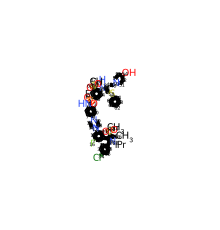 CCOP(=O)(Nc1ccc(N2CCN(c3cc(F)cc(-c4c(S(C)(=O)=O)c(C)n(C(C)C)c4-c4ccc(Cl)cc4)c3)CC2)cc1)c1ccc(N[C@H](CCN2CCC(O)CC2)CSc2ccccc2)c(S(C)(=O)=O)c1